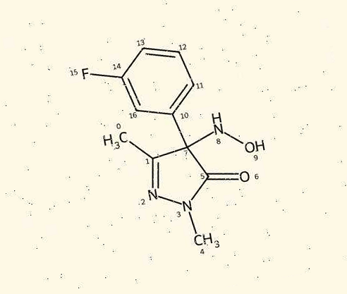 CC1=NN(C)C(=O)C1(NO)c1cccc(F)c1